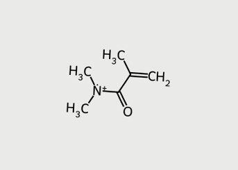 C=C(C)C(=O)[N+](C)C